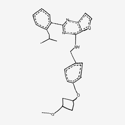 COC1CC(Oc2ccc(CNc3nc(-c4ccccc4C(C)C)nc4ccoc34)cc2)C1